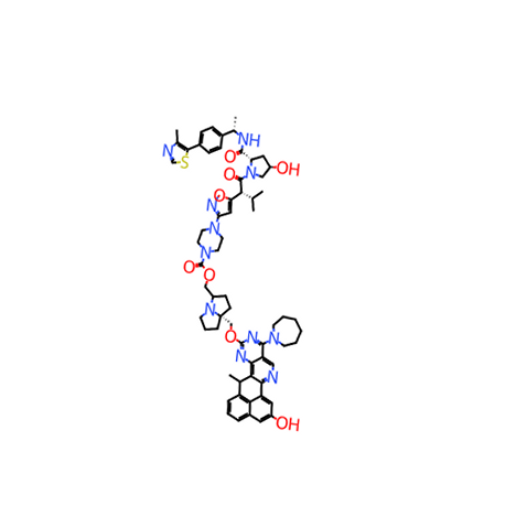 Cc1ncsc1-c1ccc([C@H](C)NC(=O)[C@@H]2C[C@@H](O)CN2C(=O)[C@@H](c2cc(N3CCN(C(=O)OCC4CC[C@@]5(COc6nc(N7CCCCCC7)c7cnc8c(c7n6)C(C)c6cccc7cc(O)cc-8c67)CCCN45)CC3)no2)C(C)C)cc1